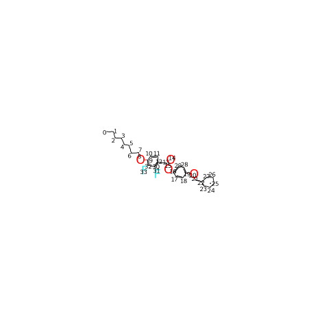 CCCCCCCCOc1ccc(C(=O)Oc2ccc(OCC3CC[CH]CC3)cc2)c(F)c1F